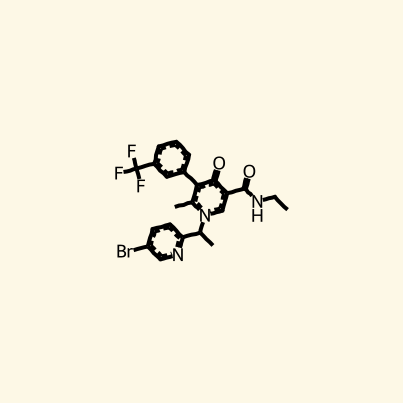 CCNC(=O)c1cn(C(C)c2ccc(Br)cn2)c(C)c(-c2cccc(C(F)(F)F)c2)c1=O